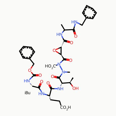 CC[C@H](C)[C@H](NC(=O)OCc1ccccc1)C(=O)N[C@@H](CCC(=O)O)C(=O)N[C@H](C(=O)N(C)N(C(=O)O)C(=O)[C@H]1O[C@@H]1C(=O)NC(C)C(=O)NCc1ccccc1)[C@@H](C)O